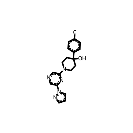 OC1(c2ccc(Cl)cc2)CCN(c2cncc(-n3cccn3)n2)CC1